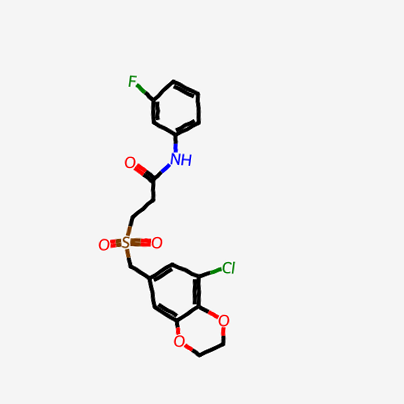 O=C(CCS(=O)(=O)Cc1cc(Cl)c2c(c1)OCCO2)Nc1cccc(F)c1